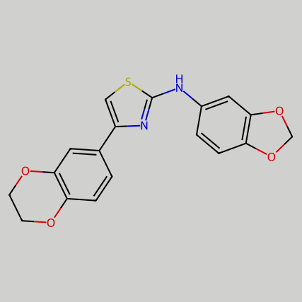 c1cc2c(cc1Nc1nc(-c3ccc4c(c3)OCCO4)cs1)OCO2